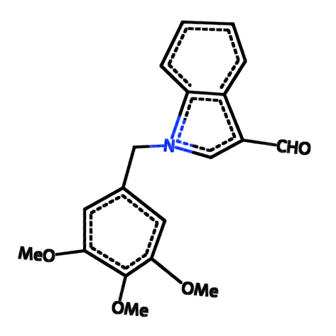 COc1cc(Cn2cc(C=O)c3ccccc32)cc(OC)c1OC